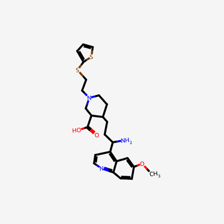 COc1ccc2nccc(C(N)CCC3CCN(CCSc4cccs4)CC3C(=O)O)c2c1